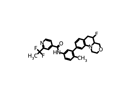 Cc1ccc(NC(=O)c2ccnc(C(C)(F)F)c2)cc1-c1ccc2c(c1)N1CCOCC1C(F)C2